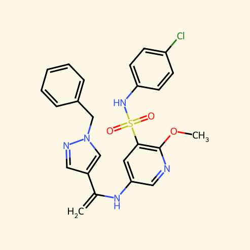 C=C(Nc1cnc(OC)c(S(=O)(=O)Nc2ccc(Cl)cc2)c1)c1cnn(Cc2ccccc2)c1